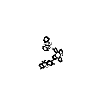 Cc1ccc2c(c1)Oc1cc(C)c(-c3ccc4c(c3)-c3ccccc3-c3ncccc3-c3ccc(N5c6nc7ccccc7n6C6C=CC=CC65)cc3-4)cc1C2(C)C